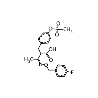 CC(=NOCc1ccc(F)cc1)C(Cc1ccc(OS(C)(=O)=O)cc1)C(=O)O